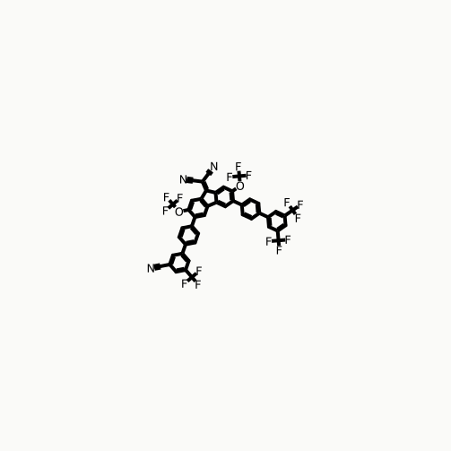 N#CC(C#N)=C1c2cc(OC(F)(F)F)c(-c3ccc(-c4cc(C#N)cc(C(F)(F)F)c4)cc3)cc2-c2cc(-c3ccc(-c4cc(C(F)(F)F)cc(C(F)(F)F)c4)cc3)c(OC(F)(F)F)cc21